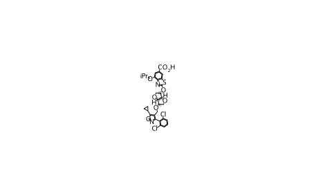 CC(C)Oc1cc(C(=O)O)cc2sc(O[C@H]3CO[C@H]4[C@@H]3OC[C@H]4OCc3c(-c4c(Cl)cccc4Cl)noc3C3CC3)nc12